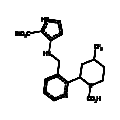 CCOC(=O)c1[nH]ccc1NCc1cccnc1C1CC(C(F)(F)F)CCN1C(=O)O